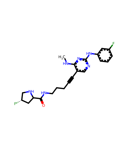 CNc1nc(Nc2cccc(F)c2)ncc1C#CCCCNC(=O)C1C[C@H](F)CN1